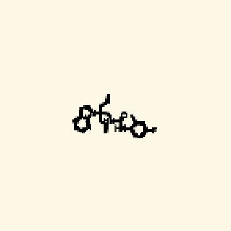 C=CCC(CC=C)(CNC(=O)Nc1ccc(F)cc1C)n1ccc2cccnc21